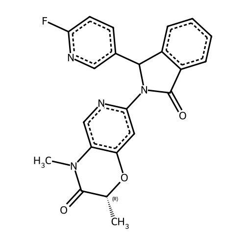 C[C@H]1Oc2cc(N3C(=O)c4ccccc4C3c3ccc(F)nc3)ncc2N(C)C1=O